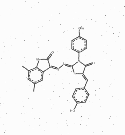 CCCCc1ccc(N2C(=O)C(=Cc3ccc(O)cc3)SC2=NN=C2C(=O)Nc3c(C)cc(C)cc32)cc1